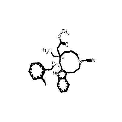 CC[C@@]1(CC(=O)OC)CCCN(C#N)CCc2c([nH]c3ccccc23)[C@@H]1OCc1ccccc1I